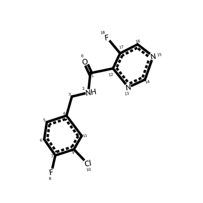 O=C(NCc1ccc(F)c(Cl)c1)c1ncncc1F